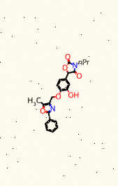 CCCN1C(=O)OC(c2ccc(OCc3nc(-c4ccccc4)oc3C)c(O)c2)C1=O